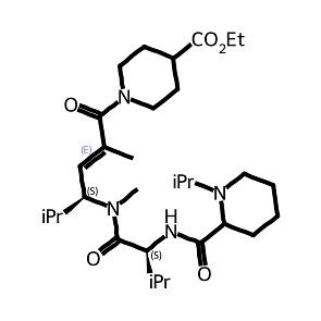 CCOC(=O)C1CCN(C(=O)/C(C)=C/[C@H](C(C)C)N(C)C(=O)[C@@H](NC(=O)C2CCCCN2C(C)C)C(C)C)CC1